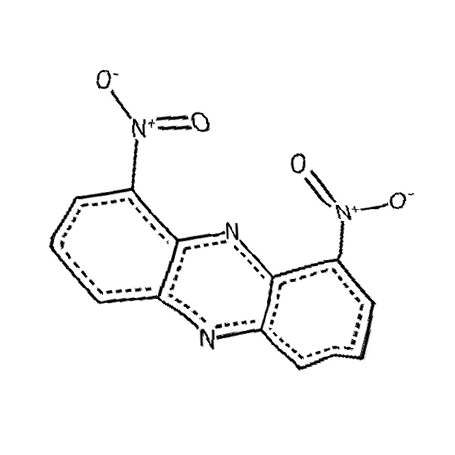 O=[N+]([O-])c1cccc2nc3cccc([N+](=O)[O-])c3nc12